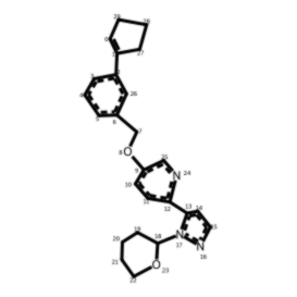 C1=C(c2cccc(COc3ccc(-c4ccnn4C4CCCCO4)nc3)c2)CCC1